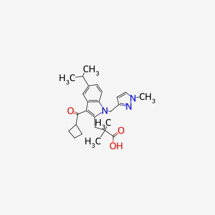 CC(C)c1ccc2c(c1)c(C(=O)C1CCC1)c(CC(C)(C)C(=O)O)n2Cc1ccn(C)n1